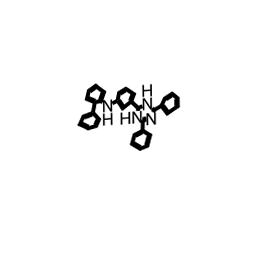 c1ccc(C2=NC(c3ccccc3)NC(c3cccc(Nc4ccccc4-c4ccccc4)c3)N2)cc1